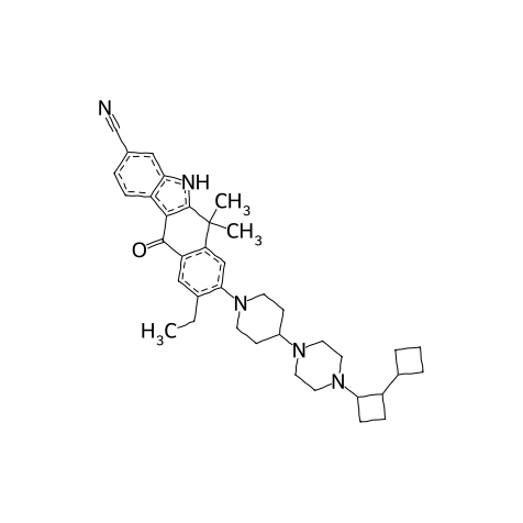 CCc1cc2c(cc1N1CCC(N3CCN(C4CCC4C4CCC4)CC3)CC1)C(C)(C)c1[nH]c3cc(C#N)ccc3c1C2=O